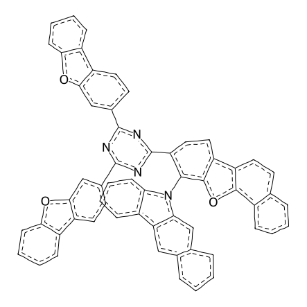 c1ccc2cc3c(cc2c1)c1ccccc1n3-c1c(-c2nc(-c3ccc4c(c3)oc3ccccc34)nc(-c3ccc4c(c3)oc3ccccc34)n2)ccc2c1oc1c3ccccc3ccc21